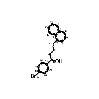 OC(CCOc1cccc2ccccc12)c1ccc(Br)cc1